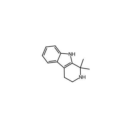 CC1(C)NCCc2c1[nH]c1ccccc21